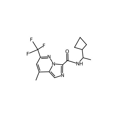 Cc1cc(C(F)(F)F)nn2c(C(=O)NC(C)C3CCC3)ncc12